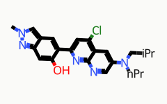 CCCN(CC(C)C)c1cnc2nc(-c3cc4cn(C)nc4cc3O)cc(Cl)c2c1